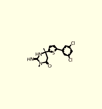 CN1C(=N)N[C@](C)(c2ccc(-c3cc(Cl)cc(Cl)c3)s2)CC1=O